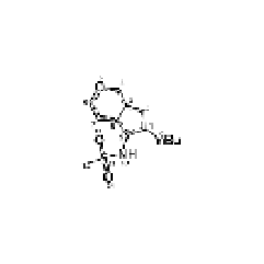 CCCCc1cc2coccc-2c1NS(C)(=O)=O